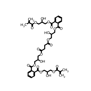 C=C(C)C(=O)OCC(O)COC(=O)c1ccccc1C(=O)OCC(O)COC(=O)CCC(=O)OCC(O)COC(=O)c1ccccc1C(=O)OCC(O)COC(=O)C(=C)C